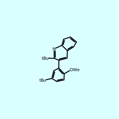 COc1ccc(C(C)(C)C)cc1-c1cc2ccccc2nc1C(C)(C)C